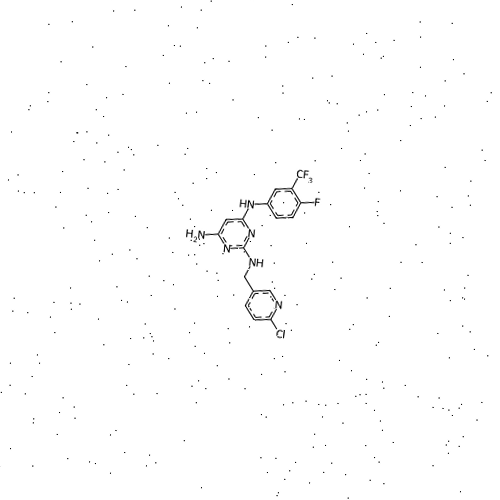 Nc1cc(Nc2ccc(F)c(C(F)(F)F)c2)nc(NCc2ccc(Cl)nc2)n1